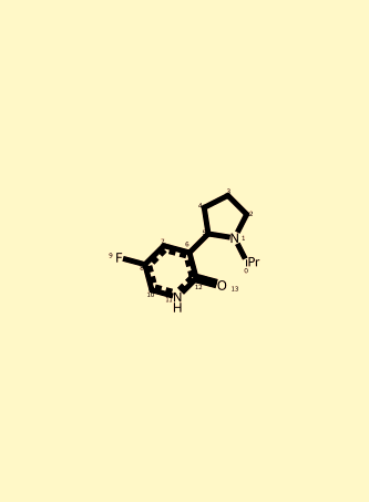 CC(C)N1CCCC1c1cc(F)c[nH]c1=O